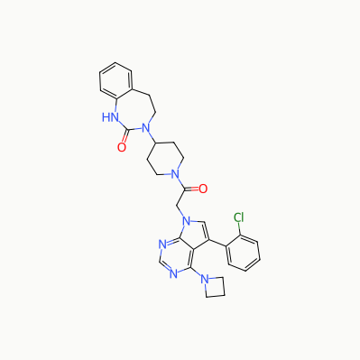 O=C(Cn1cc(-c2ccccc2Cl)c2c(N3CCC3)ncnc21)N1CCC(N2CCc3ccccc3NC2=O)CC1